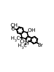 COc1ccc2c(c1)C(C)(C)c1c(c3ccc(Br)cc3n1C)C2O